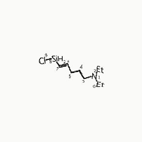 CCN(CC)CCCC=C[SiH2]Cl